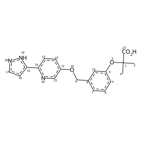 CC(C)(Oc1cccc(COc2ccc(-c3ccn[nH]3)nc2)c1)C(=O)O